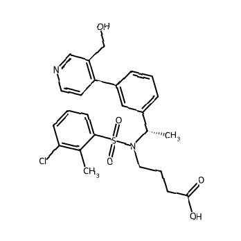 Cc1c(Cl)cccc1S(=O)(=O)N(CCCC(=O)O)[C@@H](C)c1cccc(-c2ccncc2CO)c1